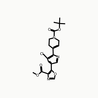 COC(=O)c1ncoc1-c1cnc(C2=CCN(C(=O)OC(C)(C)C)CC2)c(Cl)c1